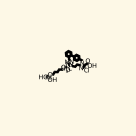 CCCCc1nc(Cl)c(C(=O)O)n1Cc1ccc(-c2ccccc2-c2nnn(C(=O)OCCCCCON(O)O)n2)cc1